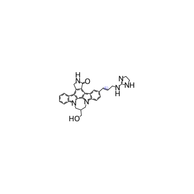 O=C1NCc2c1c1c3cc(/C=C/CNC4=NCCN4)ccc3n3c1c1c2c2ccccc2n1CC(CO)C3